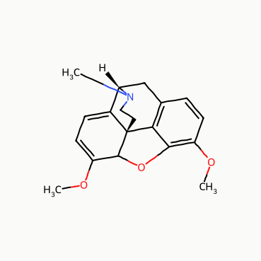 COC1=CC=C2[C@@H]3Cc4ccc(OC)c5c4[C@]2(CCN3C)C1O5